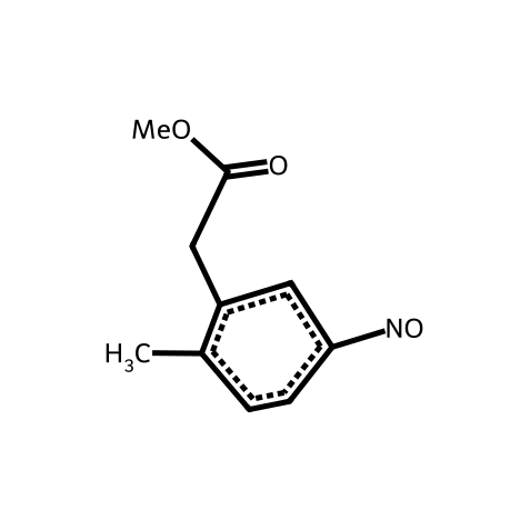 COC(=O)Cc1cc(N=O)ccc1C